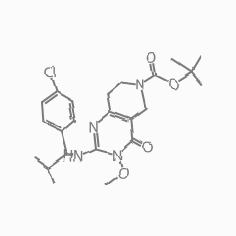 COn1c(N[C@H](c2ccc(Cl)cc2)C(C)C)nc2c(c1=O)CN(C(=O)OC(C)(C)C)CC2